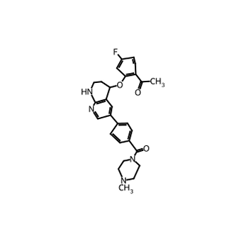 CC(=O)c1ccc(F)cc1OC1CCNc2ncc(-c3ccc(C(=O)N4CCN(C)CC4)cc3)cc21